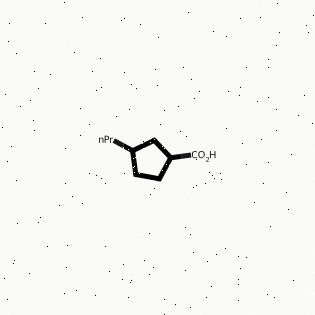 C[CH]CC1CCC(C(=O)O)C1